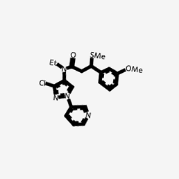 CCN(C(=O)CC(SC)c1cccc(OC)c1)c1cn(-c2cccnc2)nc1Cl